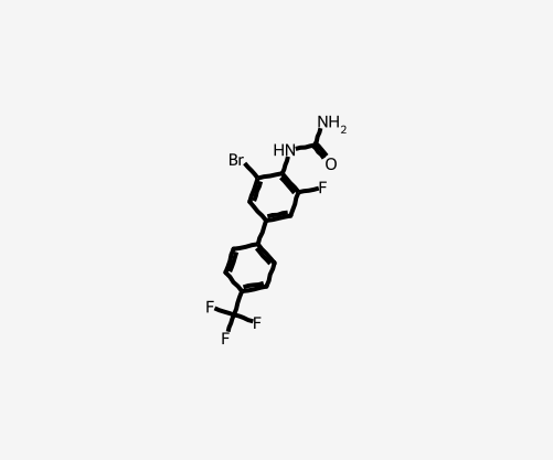 NC(=O)Nc1c(F)cc(-c2ccc(C(F)(F)F)cc2)cc1Br